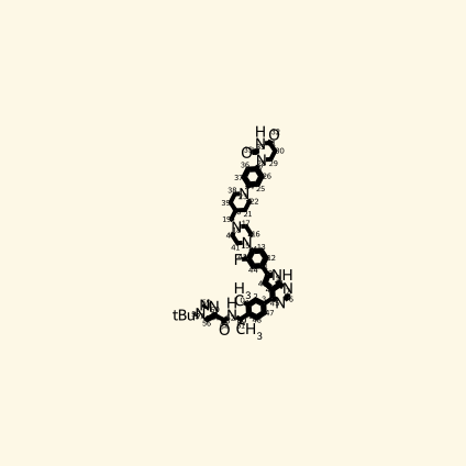 Cc1cc(-c2ncnc3[nH]c(-c4ccc(N5CCN(CC6CCN(c7ccc(N8CCC(=O)NC8=O)cc7)CC6)CC5)c(F)c4)cc23)ccc1[C@@H](C)NC(=O)c1cn(C(C)(C)C)nn1